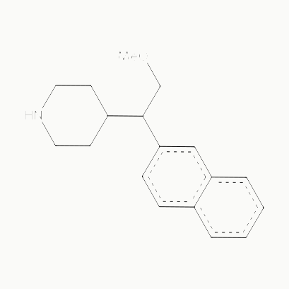 COCC(c1ccc2ccccc2c1)C1CCNCC1